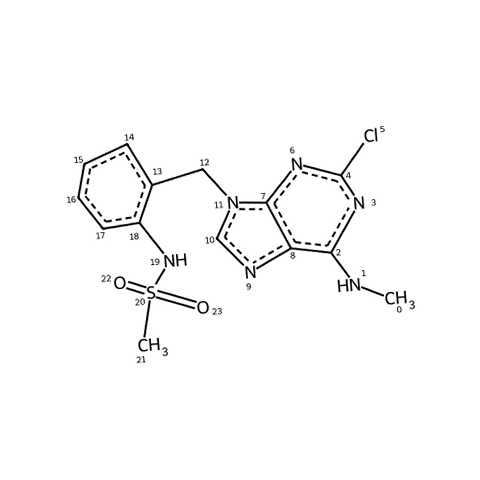 CNc1nc(Cl)nc2c1ncn2Cc1ccccc1NS(C)(=O)=O